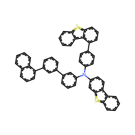 c1cc(-c2cccc(N(c3ccc(-c4cccc5sc6ccccc6c45)cc3)c3ccc4c(c3)sc3ccccc34)c2)cc(-c2cccc3ccccc23)c1